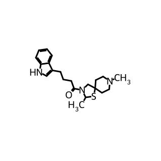 CC1SC2(CCN(C)CC2)CN1C(=O)CCCc1c[nH]c2ccccc12